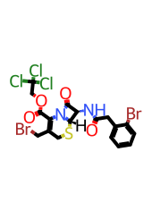 O=C(Cc1ccccc1Br)N[C@@H]1C(=O)N2C(C(=O)OCC(Cl)(Cl)Cl)=C(CBr)CS[C@@H]12